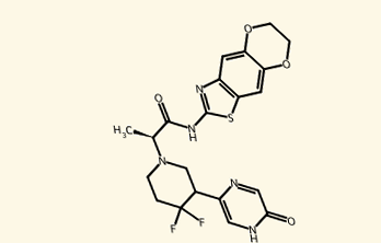 C[C@@H](C(=O)Nc1nc2cc3c(cc2s1)OCCO3)N1CCC(F)(F)C(c2c[nH]c(=O)cn2)C1